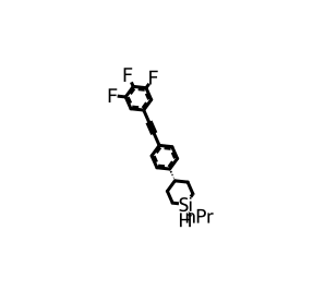 CCC[Si@H]1CC[C@H](c2ccc(C#Cc3cc(F)c(F)c(F)c3)cc2)CC1